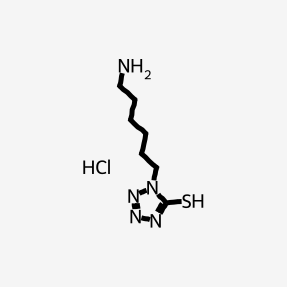 Cl.NCCCCCCn1nnnc1S